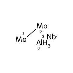 [AlH3].[Mo][Mo].[Nb]